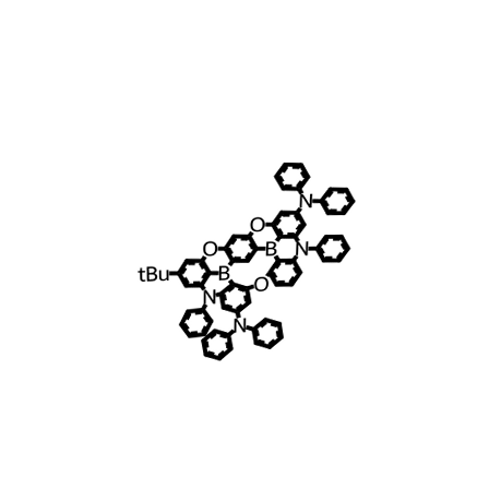 CC(C)(C)c1cc2c3c(c1)N(c1ccccc1)c1cc(N(c4ccccc4)c4ccccc4)cc4c1B3c1cc3c(cc1O2)Oc1cc(N(c2ccccc2)c2ccccc2)cc2c1B3c1c(cccc1N2c1ccccc1)O4